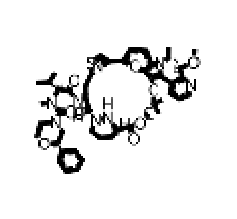 CCn1c(-c2cccnc2[C@H](C)OC)c2c3cc(ccc31)-c1csc(n1)C[C@H](NC(=O)[C@H](C(C)C)N(C)C(=O)N1CCO[C@@H](c3ccccc3)C1)C(=O)N1CCC[C@H](N1)C(=O)OCC(C)(C)C2